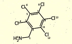 NCc1c(Cl)c(Cl)c(Cl)c(Cl)c1Cl